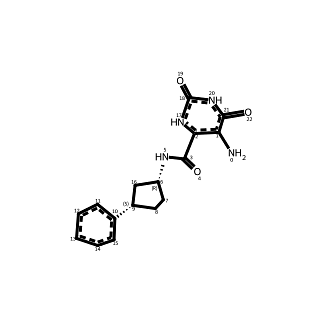 Nc1c(C(=O)N[C@@H]2CC[C@H](c3ccccc3)C2)[nH]c(=O)[nH]c1=O